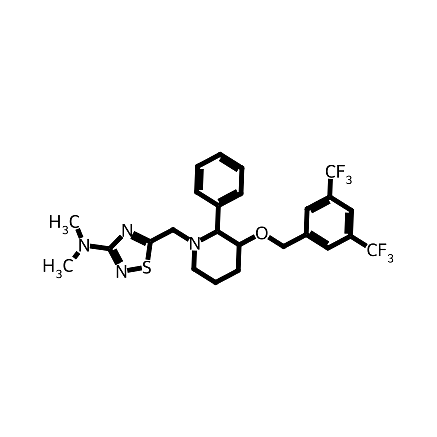 CN(C)c1nsc(CN2CCCC(OCc3cc(C(F)(F)F)cc(C(F)(F)F)c3)C2c2ccccc2)n1